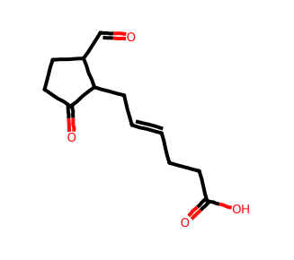 O=CC1CCC(=O)C1CC=CCCC(=O)O